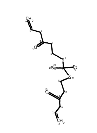 C=CCC(=O)CCSC(CC)(CCCC)SCCC(=O)CC=C